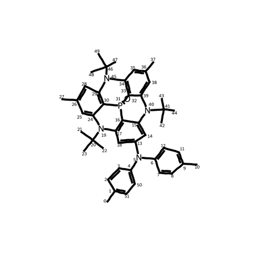 Cc1ccc(N(c2ccc(C)cc2)c2cc3c4c(c2)N(C(C)(C)C)c2cc(C)cc5c2P4(=O)c2c(cc(C)cc2N3C(C)(C)C)N5C(C)(C)C)cc1